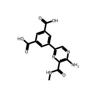 CNC(=O)c1nc(-c2cc(C(=O)O)cc(C(=O)O)c2)cnc1N